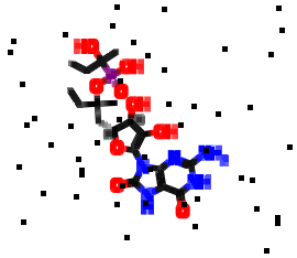 CCC(C)(C[C@H]1OC(n2c(=O)[nH]c3c(=O)[nH]c(N)nc32)=C(O)[C@@H]1O)OP(=O)(O)C(C)(O)CC